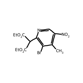 CCOC(=O)C(C(=O)OCC)c1ncc([N+](=O)[O-])c(C)c1Br